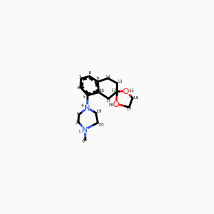 CN1CCN(c2cccc3c2CC2(CC3)OCCO2)CC1